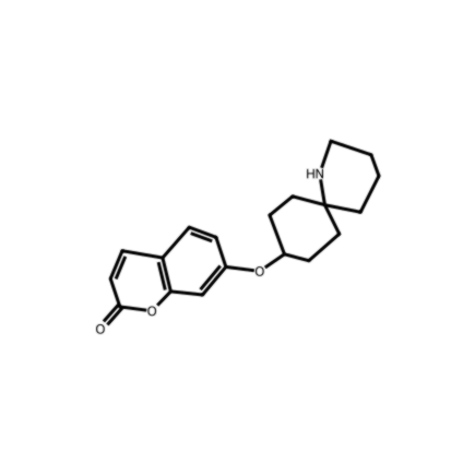 O=c1ccc2ccc(OC3CCC4(CCCCN4)CC3)cc2o1